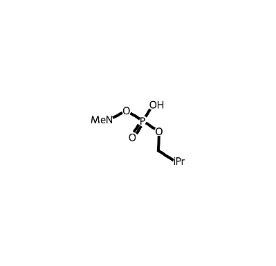 CNOP(=O)(O)OCC(C)C